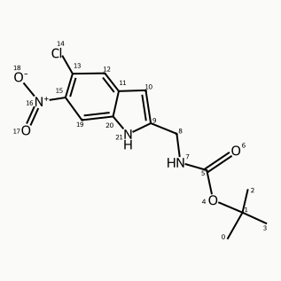 CC(C)(C)OC(=O)NCc1cc2cc(Cl)c([N+](=O)[O-])cc2[nH]1